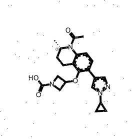 CC(=O)N1c2ccc(-c3cnn(C4CC4)c3)c(OC3CN(C(=O)O)C3)c2CC[C@@H]1C